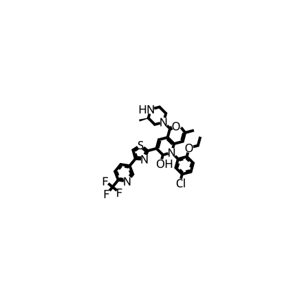 CCOc1ccc(Cl)cc1N1C(C=C(C)C)=C(C(=O)N2CCN[C@H](C)C2)C=C(c2nc(-c3ccc(C(F)(F)F)nc3)cs2)C1O